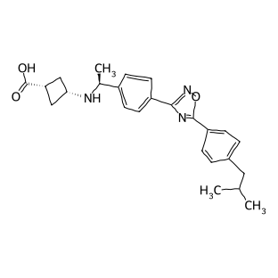 CC(C)Cc1ccc(-c2nc(-c3ccc([C@H](C)N[C@H]4C[C@@H](C(=O)O)C4)cc3)no2)cc1